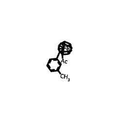 CC(=O)[C]12[CH]3[CH]4[CH]5[CH]1[Fe]45321678[CH]2[CH]1[CH]6[C]7(c1cccc(C)c1)[CH]28